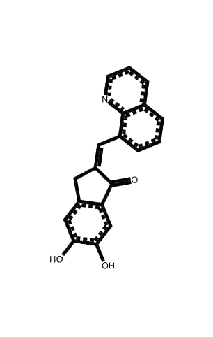 O=C1C(=Cc2cccc3cccnc23)Cc2cc(O)c(O)cc21